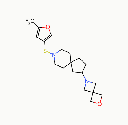 FC(F)(F)c1cc(SN2CCC3(CCC(N4CC5(COC5)C4)C3)CC2)co1